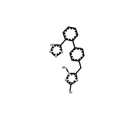 CC(C)c1nc(Cc2ccc(-c3ccccc3-c3nnn[nH]3)cc2)n(C(C)(C)C)n1